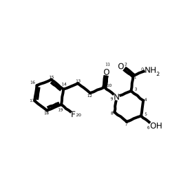 NC(=O)C1CC(O)CCN1C(=O)[CH]Cc1ccccc1F